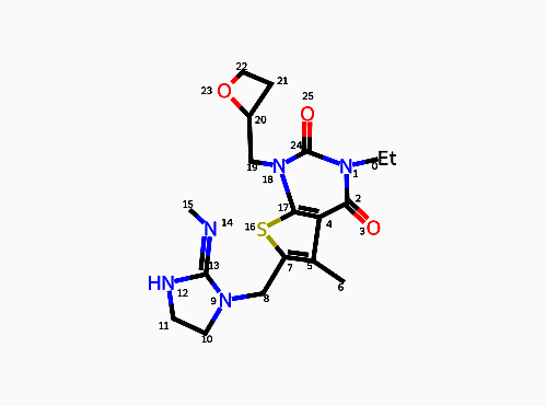 CCn1c(=O)c2c(C)c(CN3CCN/C3=N\C)sc2n(CC2CCO2)c1=O